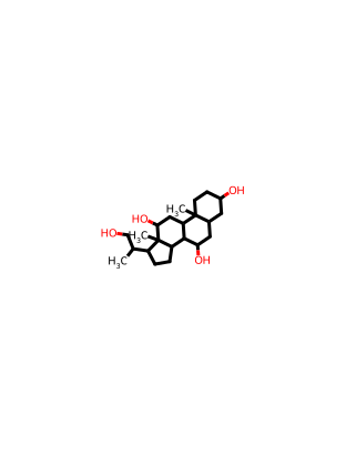 CC(CO)C1CCC2C3C(O)CC4CC(O)CCC4(C)C3CC(O)C12C